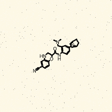 CN(C)Cc1cc(N2C3CCC2CC3)ccc1NC(=O)C1CNc2cc(C#N)ccc2O1